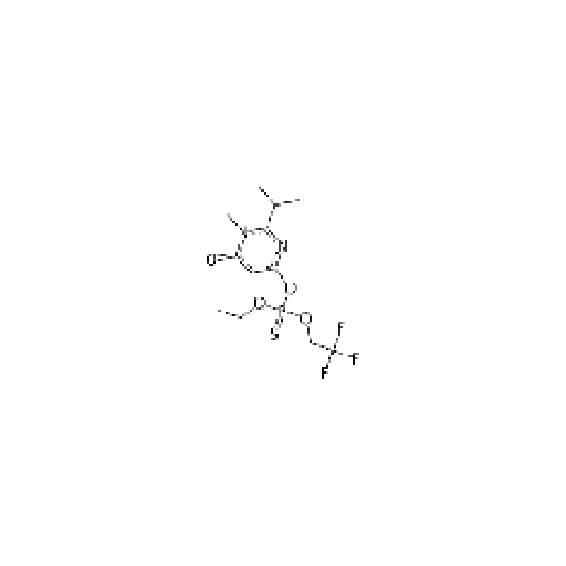 CCOP(=S)(OCC(F)(F)F)Oc1cc(=O)n(C)c(C(C)C)n1